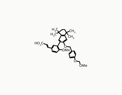 COCOc1ccc(COc2cc3c(cc2-c2cc(C=CC(=O)O)ccc2OC)C(C)(C)CCC3(C)C)cc1